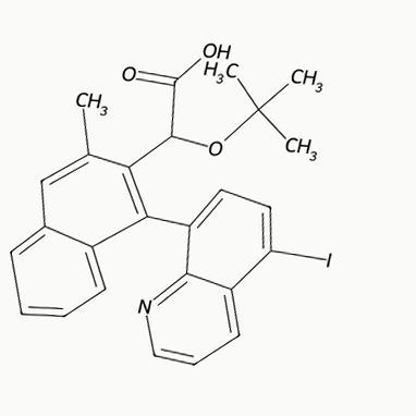 Cc1cc2ccccc2c(-c2ccc(I)c3cccnc23)c1C(OC(C)(C)C)C(=O)O